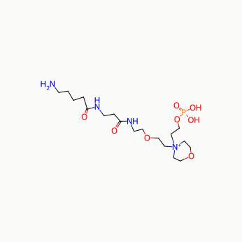 NCCCCC(=O)NCCC(=O)NCCOCC[N+]1(CCOP(=O)(O)O)CCOCC1